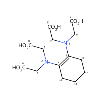 O=C(O)CN(CC(=O)O)C1=C(N(CC(=O)O)CC(=O)O)CCCC1